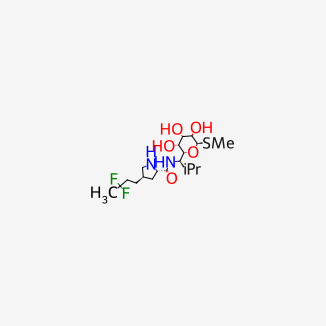 CS[C@H]1O[C@H]([C@H](NC(=O)[C@@H]2C[C@@H](CCC(C)(F)F)CN2)C(C)C)[C@H](O)[C@H](O)[C@H]1O